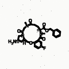 CN1CC(=O)N2C[C@@H](N)C[C@H]2COc2ccc(F)cc2C(=O)N(C)[C@H](C(=O)OCc2ccccc2)CCC1=O